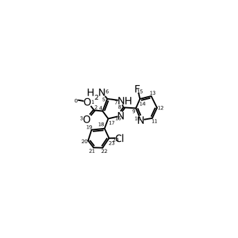 COC(=O)C1=C(N)NC(c2ncccc2F)=NC1c1ccccc1Cl